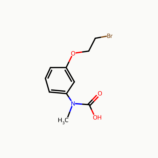 CN(C(=O)O)c1cccc(OCCBr)c1